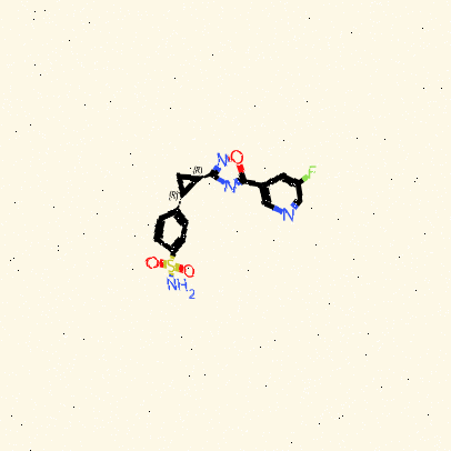 NS(=O)(=O)c1ccc([C@@H]2C[C@H]2c2noc(-c3cncc(F)c3)n2)cc1